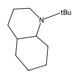 CC(C)(C)N1CCCC2CCCCC21